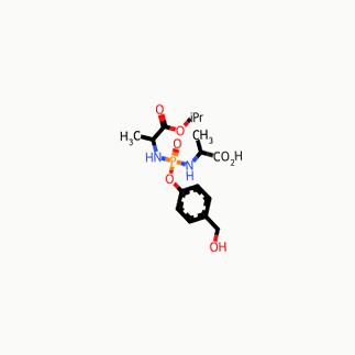 CC(C)OC(=O)C(C)NP(=O)(NC(C)C(=O)O)Oc1ccc(CO)cc1